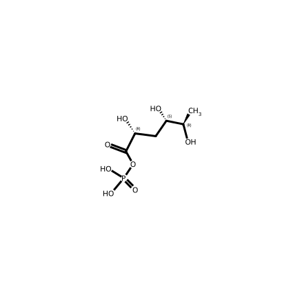 C[C@@H](O)[C@@H](O)C[C@@H](O)C(=O)OP(=O)(O)O